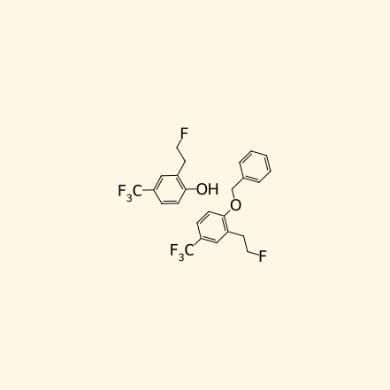 FCCc1cc(C(F)(F)F)ccc1OCc1ccccc1.Oc1ccc(C(F)(F)F)cc1CCF